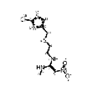 CN/C(=C/[N+](=O)[O-])NCCSCc1csc(Cl)n1